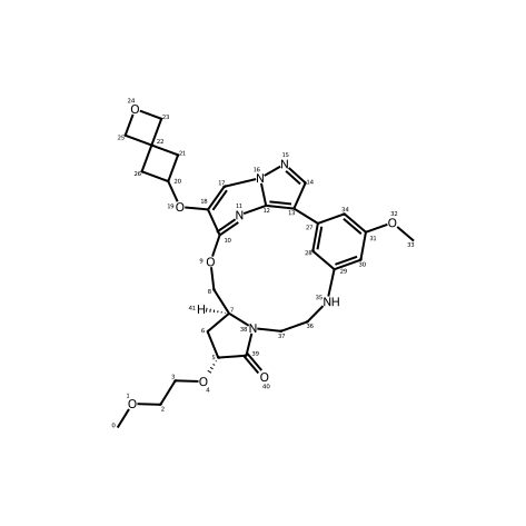 COCCO[C@@H]1C[C@H]2COc3nc4c(cnn4cc3OC3CC4(COC4)C3)-c3cc(cc(OC)c3)NCCN2C1=O